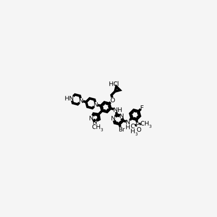 Cl.Cn1cc(-c2cc(Nc3ncc(Br)c(Nc4ccc(F)cc4P(C)(C)=O)n3)c(OCC3CC3)cc2N2CCC(N3CCNCC3)CC2)cn1